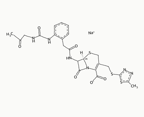 CC(=O)CNC(=O)Nc1ccccc1CC(=O)NC1C(=O)N2C(C(=O)[O-])=C(CSc3nnc(C)s3)CS[C@H]12.[Na+]